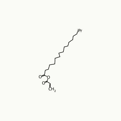 C=CC(=O)OC(=O)CCCCCCCCCCCCCCC(C)C